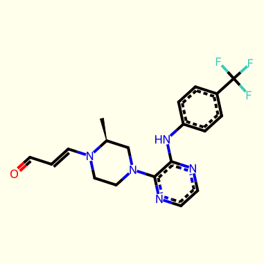 C[C@H]1CN(c2nccnc2Nc2ccc(C(F)(F)F)cc2)CCN1C=CC=O